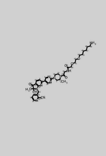 C[C@@H]1CN(c2ncc(-c3ccc4c(n3)N(Cc3cccnc3C#N)C(C)(C)C4=O)cn2)CCN1C(=O)CNC(=O)COCCOCCCCCCN